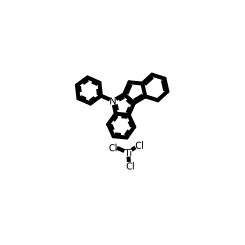 C1=CCC2=c3c(n(-c4ccccc4)c4ccccc34)=CC2=C1.[Cl][Ti]([Cl])[Cl]